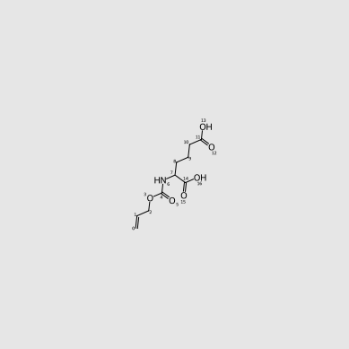 C=CCOC(=O)NC(CCCC(=O)O)C(=O)O